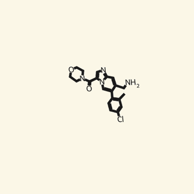 Cc1cc(Cl)ccc1-c1cn2c(C(=O)N3CCOCC3)cnc2cc1CN